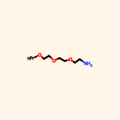 [CH2]CCOCCOCCOCCN